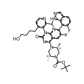 CC(C)c1nccc(CCCCO)c1-n1c(=O)nc(N2C[C@@H](C)N(C(=O)OC(C)(C)C)C[C@@H]2C)c2cc(F)c(-c3c(F)ccc4cn[nH]c34)nc21